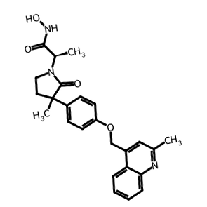 Cc1cc(COc2ccc(C3(C)CCN([C@H](C)C(=O)NO)C3=O)cc2)c2ccccc2n1